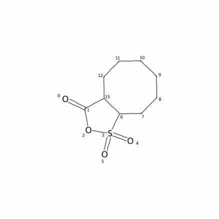 O=C1OS(=O)(=O)C2CCCCCCC12